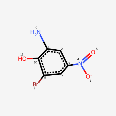 Nc1cc([N+](=O)[O-])cc(Br)c1O